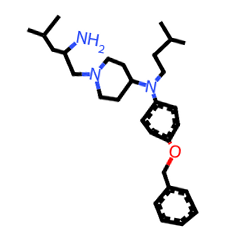 CC(C)CCN(c1ccc(OCc2ccccc2)cc1)C1CCN(CC(N)CC(C)C)CC1